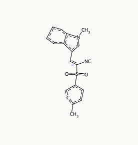 [C-]#[N+]/C(=C\c1cn(C)c2ccccc12)S(=O)(=O)c1ccc(C)cc1